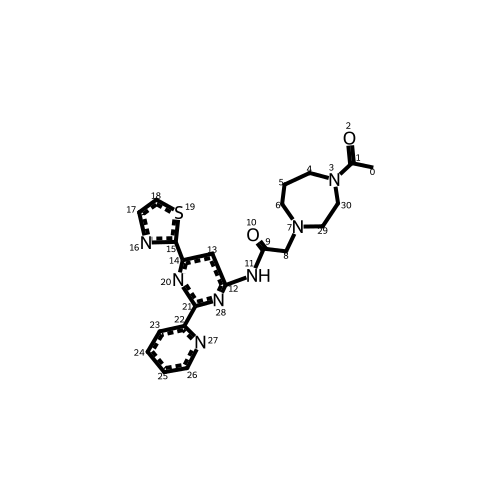 CC(=O)N1CCCN(CC(=O)Nc2cc(-c3nccs3)nc(-c3ccccn3)n2)CC1